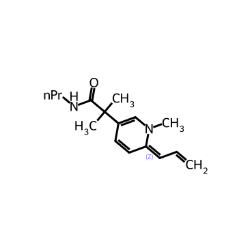 C=C/C=C1/C=CC(C(C)(C)C(=O)NCCC)=CN1C